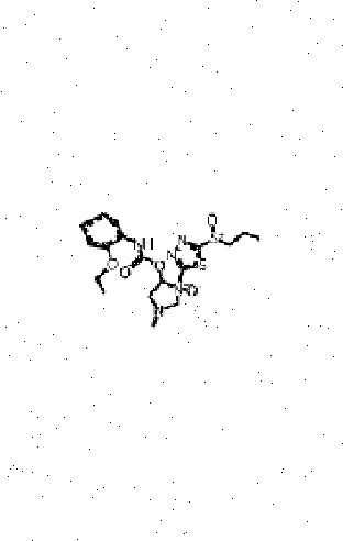 CCC[S+]([O-])c1nnc([N+]2([O-])CN(C)CC2OC(=O)Nc2ccccc2OCC)s1